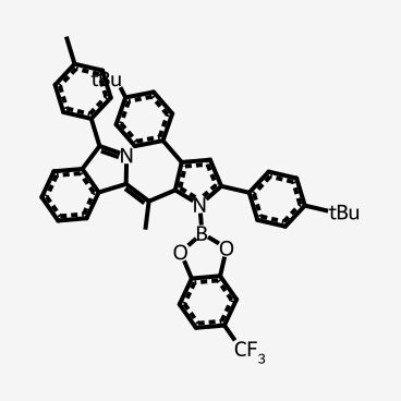 C/C(=C1/N=C(c2ccc(C)cc2)c2ccccc21)c1c(-c2ccc(C(C)(C)C)cc2)cc(-c2ccc(C(C)(C)C)cc2)n1B1Oc2ccc(C(F)(F)F)cc2O1